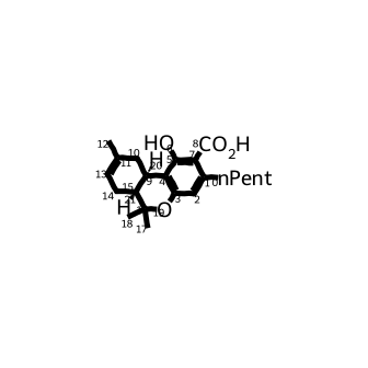 CCCCCc1cc2c(c(O)c1C(=O)O)[C@@H]1CC(C)=CC[C@H]1C(C)(C)O2